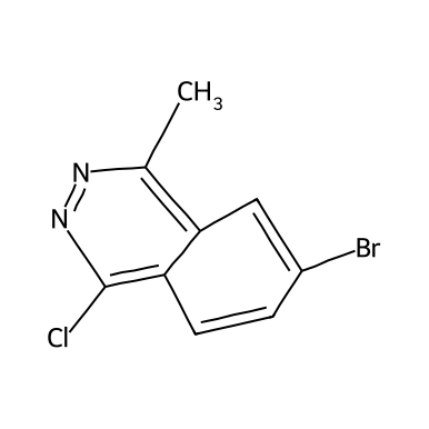 Cc1nnc(Cl)c2ccc(Br)cc12